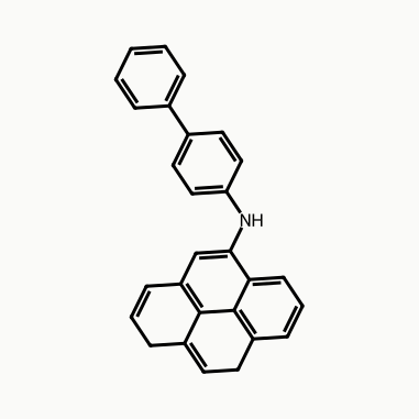 C1=Cc2cc(Nc3ccc(-c4ccccc4)cc3)c3cccc4c3c2C(=CC4)C1